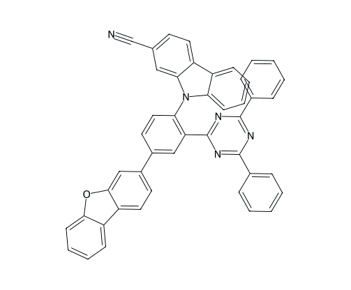 N#Cc1ccc2c3ccccc3n(-c3ccc(-c4ccc5c(c4)oc4ccccc45)cc3-c3nc(-c4ccccc4)nc(-c4ccccc4)n3)c2c1